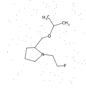 CC(C)OCC1CCCN1CCF